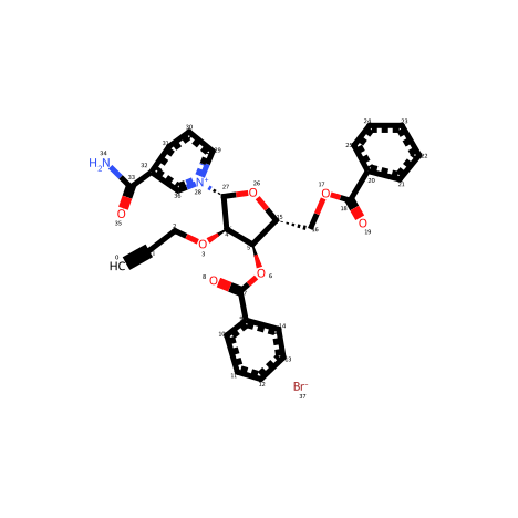 C#CCO[C@@H]1[C@H](OC(=O)c2ccccc2)[C@@H](COC(=O)c2ccccc2)O[C@H]1[n+]1cccc(C(N)=O)c1.[Br-]